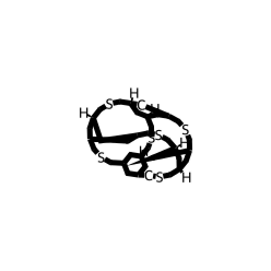 C1SCC2CC3CSC[C@H]4CC5CSCC6C[C@H](CSC[C@@H]7CC1CC(CSC[C@H](C5)C4)C7)C[C@H](CSC[C@@H](C2)C3)C6